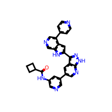 O=C(Nc1cncc(-c2cnc3[nH]nc(-c4cc5c(-c6ccncc6)cncc5[nH]4)c3c2)c1)C1CCC1